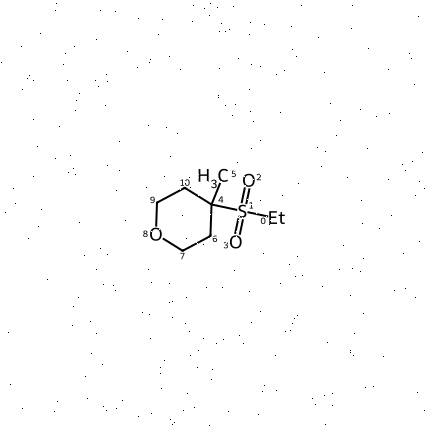 CCS(=O)(=O)C1(C)CCOCC1